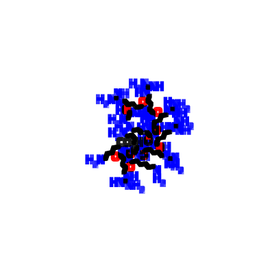 N=C(N)NCCC[C@H](NC(=O)CN)C(=O)N[C@@H](CCCNC(=N)N)C(=O)N[C@@H](CCCNC(=N)N)C(=O)N[C@@H](CCCN)C(=O)N[C@@H](CCCNC(=N)N)C(=O)N[C@@H](CCCNC(=N)N)C(=O)N[C@@H](CCCCN)C(=O)N[C@@H](CCCCN)C(=O)N[C@@H](CCCNC(=N)N)C(=O)N[C@@H](CCCCN)C(=O)O